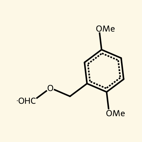 COc1ccc(OC)c(CO[C]=O)c1